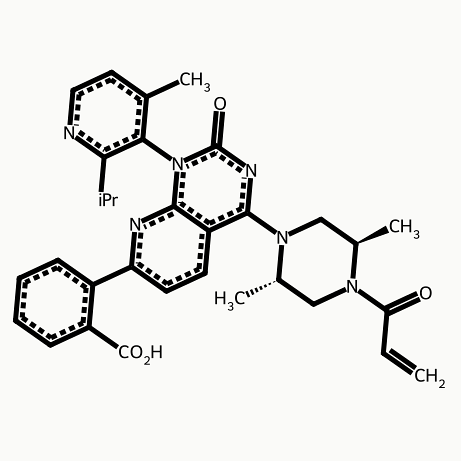 C=CC(=O)N1C[C@H](C)N(c2nc(=O)n(-c3c(C)ccnc3C(C)C)c3nc(-c4ccccc4C(=O)O)ccc23)C[C@H]1C